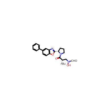 CCCC[C@@H](CN(O)C=O)C(=O)N1CCC[C@H]1c1nc2cc(-c3ccccc3)ccc2o1